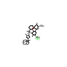 C/[C](c1ccccc1)=[Zr+2](\[C]1=CC(C2(C)C3CC4CC(C3)CC2C4)=CC1C)[c]1c(C)c(C(C)(C)C)cc2c1Cc1cc(C)c(C(C)(C)C)cc1-2.[Cl-].[Cl-]